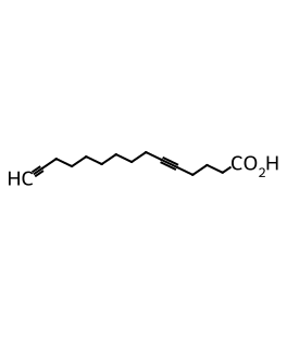 C#CCCCCCCCC#CCCCC(=O)O